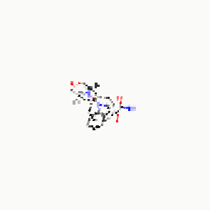 NC(=O)C(=O)c1cn([C@H]2C[C@H]3COC[C@@H](C2)N3C2CCCCCCCCC2)c2ccccc12